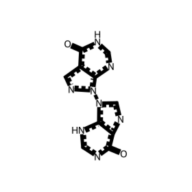 O=c1[nH]cnc2c1cnn2-n1cnc2c(=O)nc[nH]c21